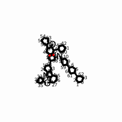 c1ccc(-c2ccc(-c3ccc(N(c4cccc(-c5ccc6c(c5)c5cccc7c5n6-c5ccccc5O7)c4)c4ccccc4-c4cccc5c4oc4ccccc45)cc3)cc2)cc1